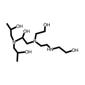 CC(O)CN(CC(C)O)C(O)CN(CCO)CCNCCO